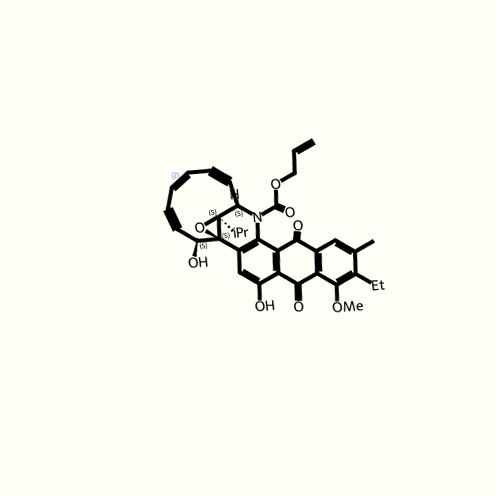 C=CCOC(=O)N1c2c(cc(O)c3c2C(=O)c2cc(C)c(CC)c(OC)c2C3=O)[C@@]23O[C@@]2(C(C)C)[C@@H]1C#C/C=C\C#C[C@@H]3O